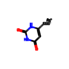 O=C([O-])c1cc(=O)[nH]c(=O)[nH]1.[Ag+]